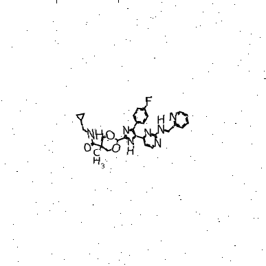 CC1(C(=O)NCC2CC2)COC(c2nc(-c3ccc(F)cc3)c(-c3ccnc(NCc4ccccn4)n3)[nH]2)OC1